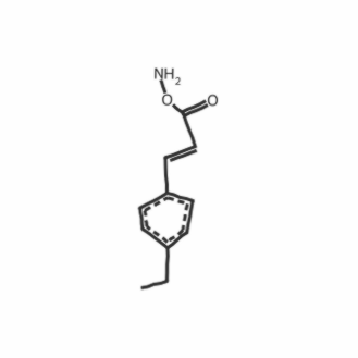 CCc1ccc(/C=C/C(=O)ON)cc1